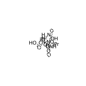 CC(C)C[C@H](NC(=O)COc1ccccc1)C(=O)N(C(=O)C[C@H](O)[C@@H](N)Cc1ccccc1)[C@@H](CC(C)C)C(=O)N[C@@H](Cc1ccccc1)C(=O)O